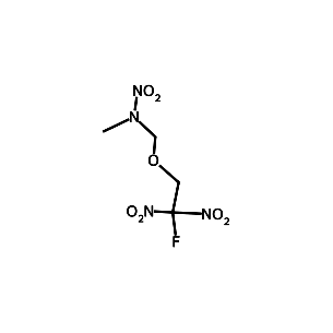 CN(COCC(F)([N+](=O)[O-])[N+](=O)[O-])[N+](=O)[O-]